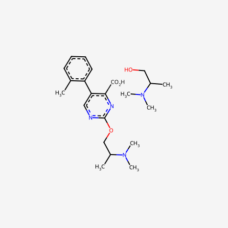 CC(CO)N(C)C.Cc1ccccc1-c1cnc(OCC(C)N(C)C)nc1C(=O)O